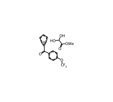 COC(=O)C(O)O.O=C(c1ccc(OC(F)(F)F)cc1)c1c2cccc1-2